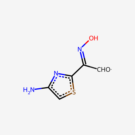 Nc1csc(C([C]=O)=NO)n1